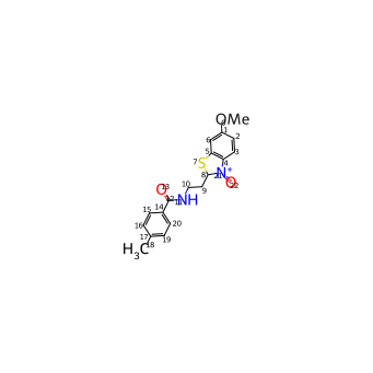 COc1ccc2c(c1)SC(CCNC(=O)c1ccc(C)cc1)[N+]2=O